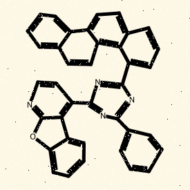 c1ccc(-c2nc(-c3cccc4ccc5c6ccccc6ccc5c34)nc(-c3ccnc4oc5ccccc5c34)n2)cc1